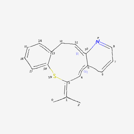 CC(C)=C1/C=c2/cccn/c2=C/Cc2ccccc2S1